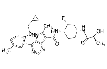 Cc1ccc(OCC2CC2)c(-c2ncnc3c(C(=O)N[C@H]4CC[C@@H](NC(=O)[C@H](C)O)C[C@H]4F)c(C)[nH]c23)c1